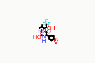 COc1ccc([C@H](NC(=O)O)C(=O)N[C@@H](C(C)C)[C@H](O)C(F)(F)F)cc1